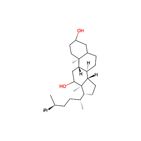 CC(C)[C@@H](C)CC[C@@H](C)[C@H]1CC[C@H]2[C@@H]3CCC4CC(O)CC[C@]4(C)[C@H]3CC(O)[C@]12C